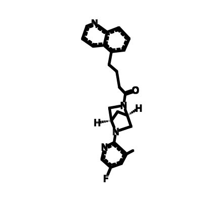 Cc1cc(F)cnc1N1C[C@H]2C[C@@H]1CN2C(=O)CCCc1cccc2ncccc12